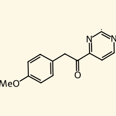 COc1ccc(CC(=O)c2ccn[c]n2)cc1